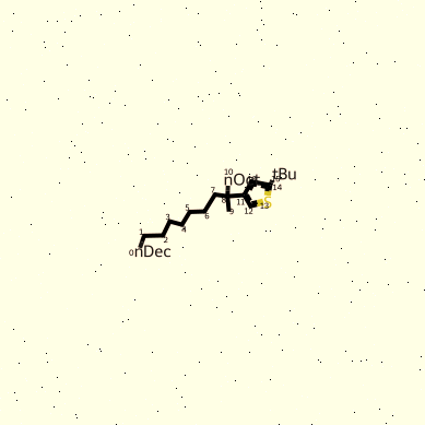 CCCCCCCCCCCCCCCCCC(C)(CCCCCCCC)c1csc(C(C)(C)C)c1